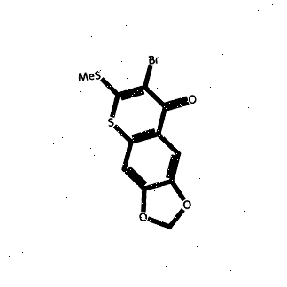 CSc1sc2cc3c(cc2c(=O)c1Br)OCO3